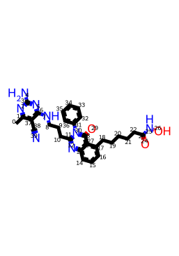 Cc1nc(N)nc(NCCCc2nc3cccc(CCCCCC(=O)NO)c3c(=O)n2-c2ccccc2)c1C#N